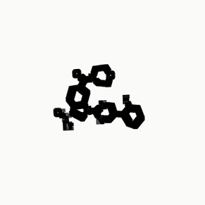 CC[S+]([O-])c1cn(-c2ncc(-c3ccccc3F)cn2)c2cc(C(=O)N3CCOCC3)ccc12